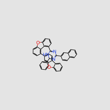 c1ccc(C2N=C(c3ccc4ccccc4c3)N=C(c3cccc4oc5cccc(-c6ccc7c(c6)oc6ccccc67)c5c34)N2)cc1